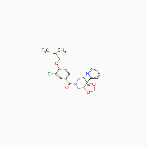 CC(COc1ccc(C(=O)N2CC[C@]3(c4ccccn4)OCOC3C2)cc1Cl)CC(F)(F)F